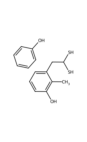 Cc1c(O)cccc1CC(S)S.Oc1ccccc1